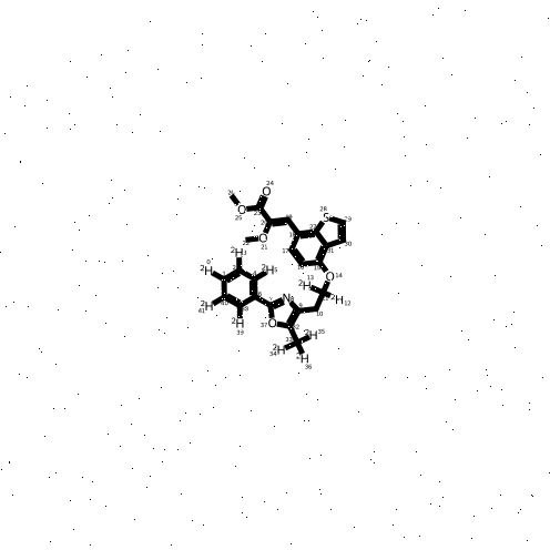 [2H]c1c([2H])c([2H])c(-c2nc(CC([2H])([2H])Oc3ccc(/C=C(\OC)C(=O)OC)c4sccc34)c(C([2H])([2H])[2H])o2)c([2H])c1[2H]